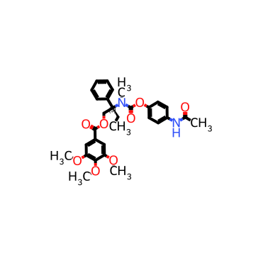 CC[C@@](COC(=O)c1cc(OC)c(OC)c(OC)c1)(c1ccccc1)N(C)C(=O)Oc1ccc(NC(C)=O)cc1